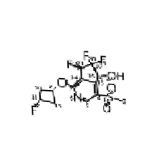 CS(=O)(=O)c1cnc(O[C@H]2C[C@H](F)C2)c2c1[C@H](O)C(F)(F)[C@@H]2F